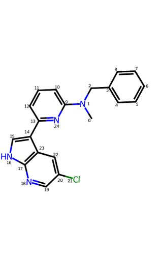 CN(Cc1ccccc1)c1cccc(-c2c[nH]c3ncc(Cl)cc23)n1